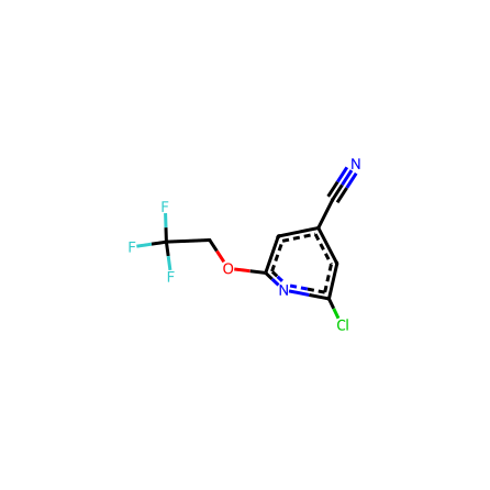 N#Cc1cc(Cl)nc(OCC(F)(F)F)c1